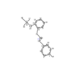 Cc1ccc(/C=N/Cc2ccccc2O[Si](C)(C)C)nc1